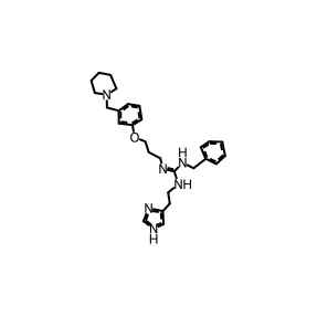 c1ccc(CN/C(=N\CCCOc2cccc(CN3CCCCC3)c2)NCCc2c[nH]cn2)cc1